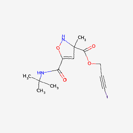 CC(C)(C)NC(=O)C1=CC(C)(C(=O)OCC#CI)NO1